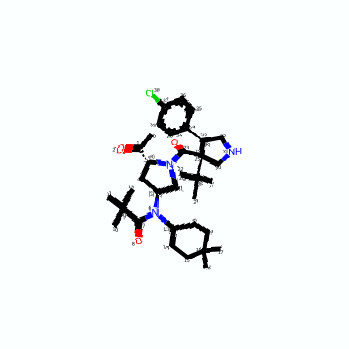 CC(=O)[C@H]1C[C@H](N(C(=O)C(C)(C)C)C2CCC(C)(C)CC2)CN1C(=O)[C@@]1(C(C)(C)C)CNC[C@@H]1c1ccc(Cl)cc1